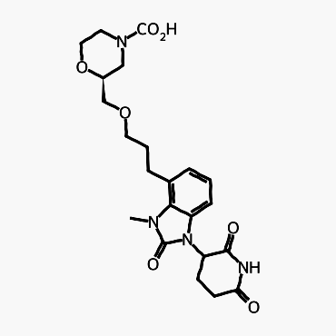 Cn1c(=O)n(C2CCC(=O)NC2=O)c2cccc(CCCOC[C@@H]3CN(C(=O)O)CCO3)c21